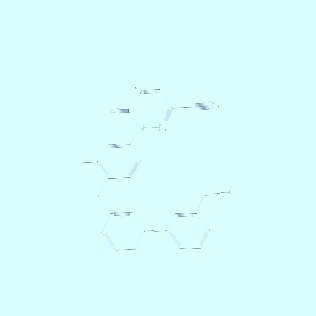 Cc1cc(-n2nc(C#N)c(O)nc2=O)cc(Cl)c1Cc1cccc(-c2cccc(CC(F)P)c2)c1